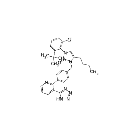 CCCCc1cn(-c2c(Cl)cccc2C(C)(C)C)c(=O)n1Cc1ccc(-c2ncccc2-c2nnn[nH]2)cc1